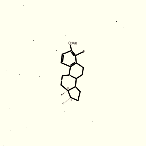 COc1ccc2c(c1F)CCC1C2CC[C@@]2(C)C1CC[C@@H]2C